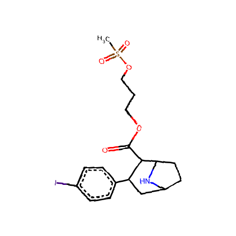 CS(=O)(=O)OCCCOC(=O)C1C2CCC(CC1c1ccc(I)cc1)N2